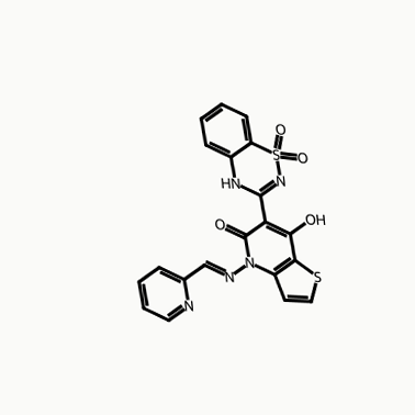 O=c1c(C2=NS(=O)(=O)c3ccccc3N2)c(O)c2sccc2n1N=Cc1ccccn1